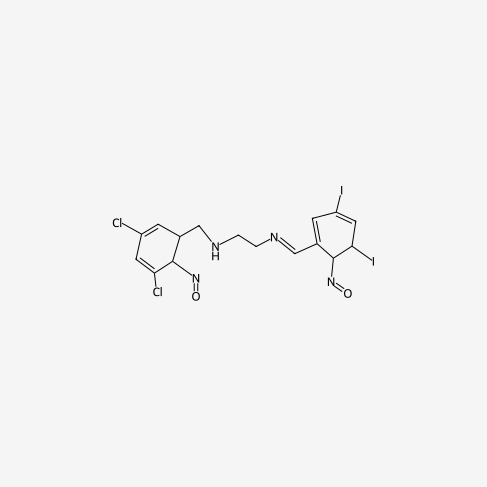 O=NC1C(/C=N/CCNCC2C=C(Cl)C=C(Cl)C2N=O)=CC(I)=CC1I